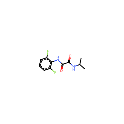 CC(C)NC(=O)C(=O)Nc1c(F)cccc1F